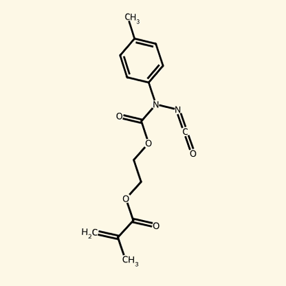 C=C(C)C(=O)OCCOC(=O)N(N=C=O)c1ccc(C)cc1